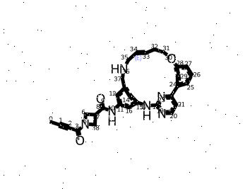 CC#CC(=O)N1CC(C(=O)Nc2cc3cc(c2)Nc2nccc(n2)-c2cccc(c2)OCC/C=C/CNC3)C1